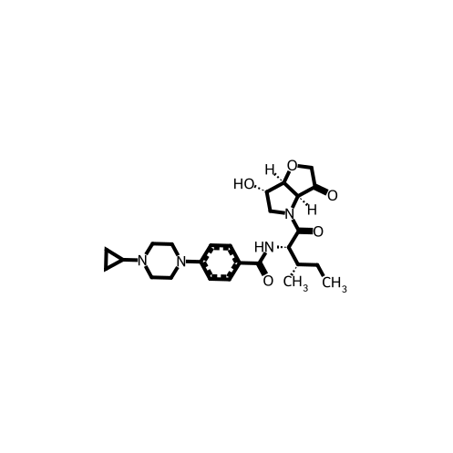 CC[C@H](C)[C@H](NC(=O)c1ccc(N2CCN(C3CC3)CC2)cc1)C(=O)N1C[C@H](O)[C@H]2OCC(=O)[C@H]21